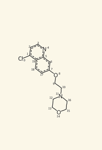 Clc1ccnc2cc(OCCN3CCOCC3)ccc12